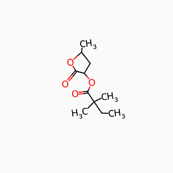 CCC(C)(C)C(=O)OC1CC(C)OC1=O